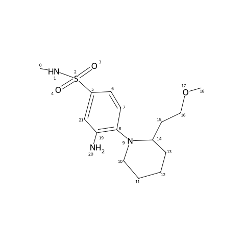 CNS(=O)(=O)c1ccc(N2CCCCC2CCOC)c(N)c1